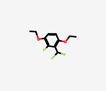 CCOc1ccc(OCC)c(C(F)F)c1F